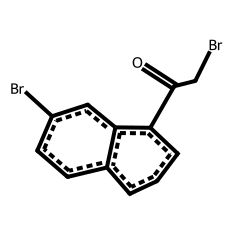 O=C(CBr)c1cccc2ccc(Br)cc12